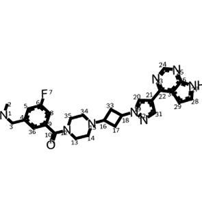 CN(C)Cc1cc(F)cc(C(=O)N2CCN(C3CC(n4cc(-c5ncnc6[nH]ccc56)cn4)C3)CC2)c1